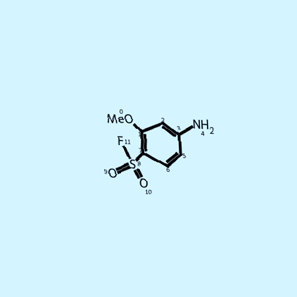 COc1cc(N)ccc1S(=O)(=O)F